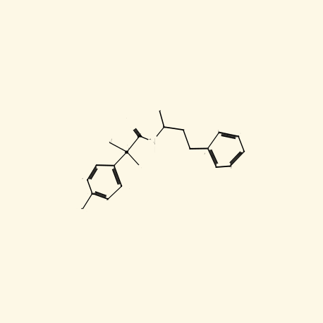 CC(CCc1ccccc1)NC(=O)C(C)(C)c1ccc(Cl)cc1